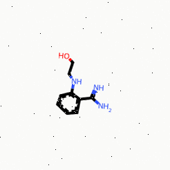 N=C(N)c1ccccc1NCCO